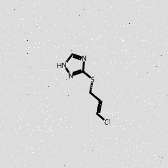 ClC=CCSc1nc[nH]n1